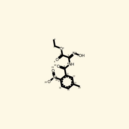 CCOC(=O)/C(=N/O)NC(=O)c1cc(C)ccc1[N+](=O)[O-]